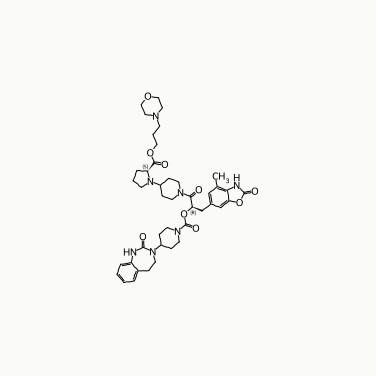 Cc1cc(C[C@@H](OC(=O)N2CCC(N3CCc4ccccc4NC3=O)CC2)C(=O)N2CCC(N3CCC[C@H]3C(=O)OCCCN3CCOCC3)CC2)cc2oc(=O)[nH]c12